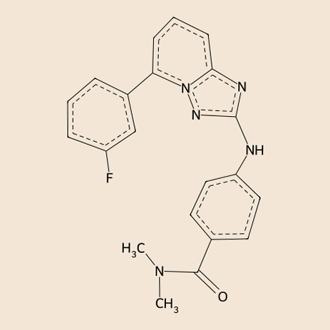 CN(C)C(=O)c1ccc(Nc2nc3cccc(-c4cccc(F)c4)n3n2)cc1